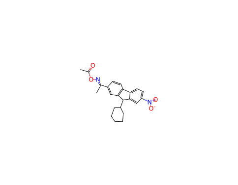 CC(=O)O/N=C(\C)c1ccc2c(c1)C(C1CCCCC1)c1cc([N+](=O)[O-])ccc1-2